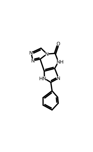 O=c1[nH]c2nc(-c3ccccc3)[nH]c2c2nncn12